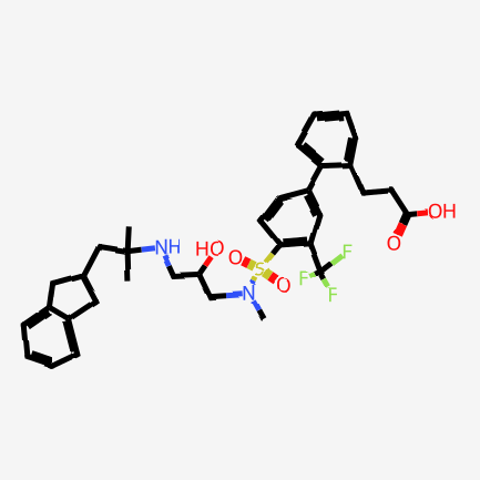 CN(CC(O)CNC(C)(C)CC1Cc2ccccc2C1)S(=O)(=O)c1ccc(-c2ccccc2CCC(=O)O)cc1C(F)(F)F